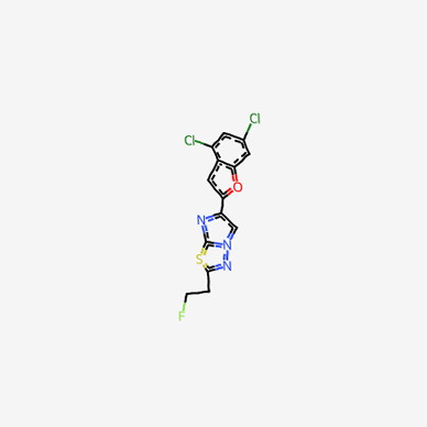 FCCc1nn2cc(-c3cc4c(Cl)cc(Cl)cc4o3)nc2s1